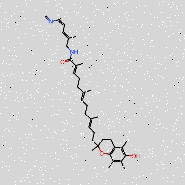 C=N/C=C\C=C(/C)CNC(=O)/C(C)=C/CC/C(C)=C/CC/C(C)=C/CCC1(C)CCc2c(C)c(O)c(C)c(C)c2O1